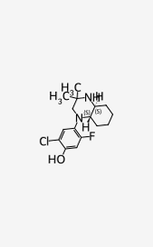 CC1(C)CN(c2cc(Cl)c(O)cc2F)[C@H]2CCCC[C@@H]2N1